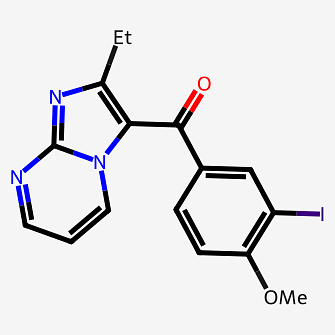 CCc1nc2ncccn2c1C(=O)c1ccc(OC)c(I)c1